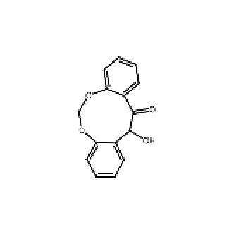 O=C1c2ccccc2OCOc2ccccc2C1O